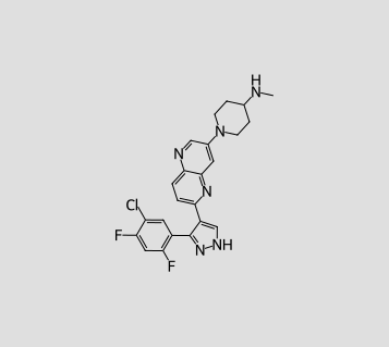 CNC1CCN(c2cnc3ccc(-c4c[nH]nc4-c4cc(Cl)c(F)cc4F)nc3c2)CC1